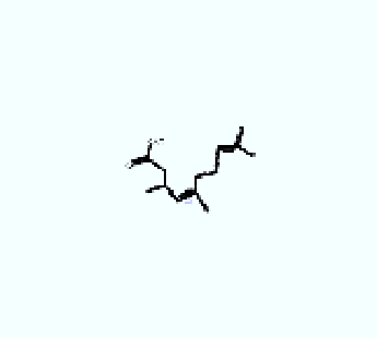 CC(C)=CCC/C(C)=C\C(C)CC(=O)O